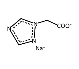 O=C([O-])Cn1cncn1.[Na+]